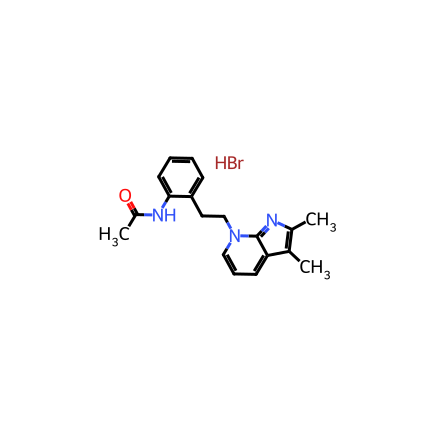 Br.CC(=O)Nc1ccccc1CCn1cccc2c(C)c(C)nc1-2